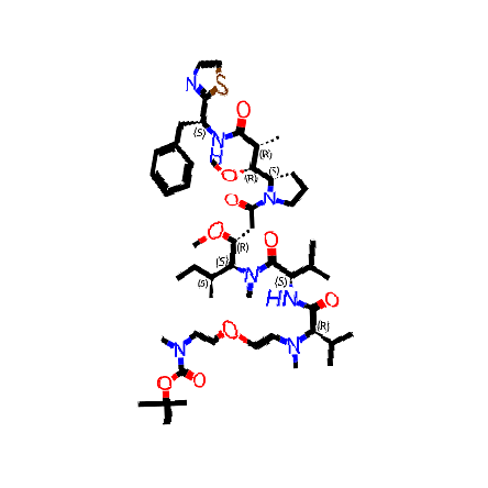 CC[C@H](C)[C@@H]([C@@H](CC(=O)N1CCC[C@H]1[C@H](OC)[C@@H](C)C(=O)N[C@@H](Cc1ccccc1)c1nccs1)OC)N(C)C(=O)[C@@H](NC(=O)[C@@H](C(C)C)N(C)CCOCCN(C)C(=O)OC(C)(C)C)C(C)C